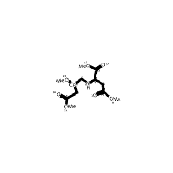 COC(=O)CC(N[CH2][Co]([CH2]C(=O)OC)[O]C)C(=O)OC